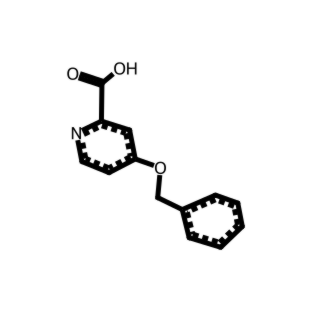 O=C(O)c1cc(OCc2ccccc2)ccn1